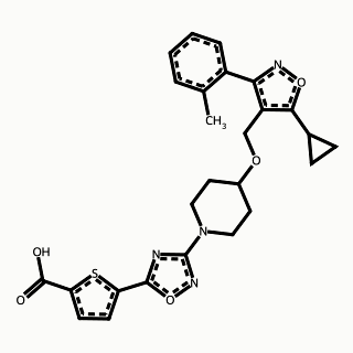 Cc1ccccc1-c1noc(C2CC2)c1COC1CCN(c2noc(-c3ccc(C(=O)O)s3)n2)CC1